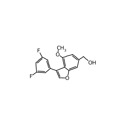 COc1cc(CO)cc2occ(-c3cc(F)cc(F)c3)c12